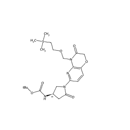 CC(C)(C)OC(=O)N[C@@H]1CC(=O)N(c2ccc3c(n2)N(COCCS(C)(C)C)C(=O)CO3)C1